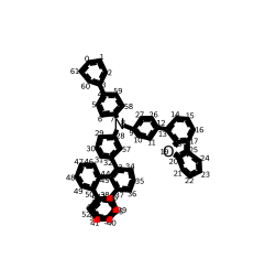 c1ccc(-c2ccc(N(c3ccc(-c4cccc5c4oc4ccccc45)cc3)c3cccc(-c4cccc(-c5ccccc5)c4-c4ccccc4-c4ccccc4)c3)cc2)cc1